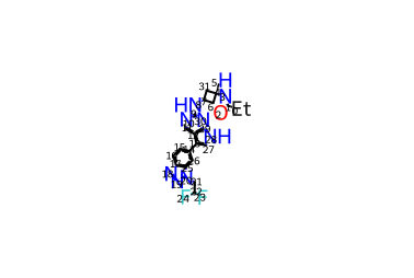 CCC(=O)N[C@]1(C)C[C@H](Nc2ncc3c(-c4ccc5nnn(CC(F)F)c5c4)c[nH]c3n2)C1